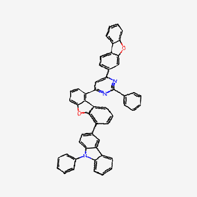 c1ccc(-c2nc(-c3ccc4c(c3)oc3ccccc34)cc(-c3cccc4oc5c(-c6ccc7c(c6)c6ccccc6n7-c6ccccc6)cccc5c34)n2)cc1